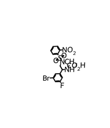 CN(CC(NC(=O)O)c1cc(F)cc(Br)c1)S(=O)(=O)c1ccccc1[N+](=O)[O-]